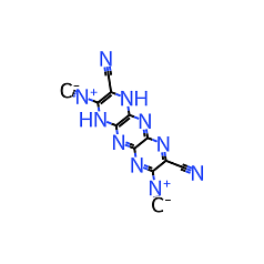 [C-]#[N+]C1=C(C#N)Nc2nc3nc(C#N)c([N+]#[C-])nc3nc2N1